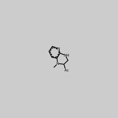 CC(=O)C1CNc2ncccc2N1C